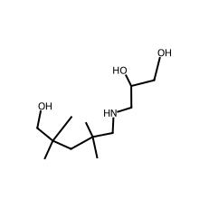 CC(C)(CO)CC(C)(C)CNCC(O)CO